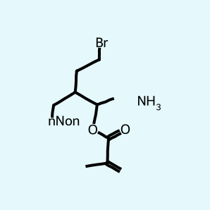 C=C(C)C(=O)OC(C)C(CCBr)CCCCCCCCCC.N